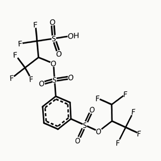 O=S(=O)(OC(C(F)F)C(F)(F)F)c1cccc(S(=O)(=O)OC(C(F)(F)F)C(F)(F)S(=O)(=O)O)c1